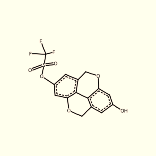 O=S(=O)(Oc1cc2c3c(c1)OCc1cc(O)cc(c1-3)OC2)C(F)(F)F